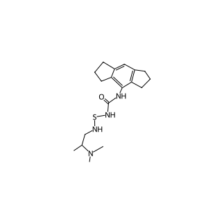 CC(CNSNC(=O)Nc1c2c(cc3c1CCC3)CCC2)N(C)C